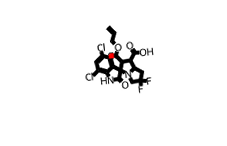 C=CCOC(=O)C1C(C(=O)O)C2CC(F)(F)CN2C12C(=O)Nc1c(Cl)cc(Cl)cc12